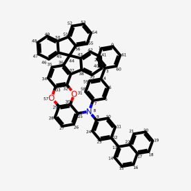 c1ccc(-c2ccc(N(c3ccc(-c4cccc5ccccc45)cc3)c3cccc4c3Oc3c(ccc5c3-c3ccccc3C53c5ccccc5-c5ccccc53)O4)cc2)cc1